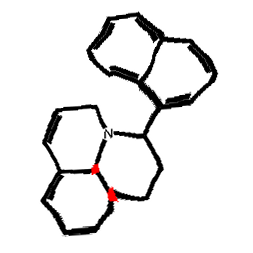 C1=C(/C=C\CN2CCCCC2c2cccc3ccccc23)CCCC1